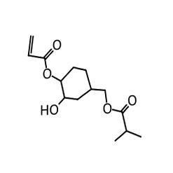 C=CC(=O)OC1CCC(COC(=O)C(C)C)CC1O